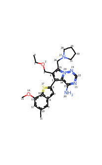 CCOCc1c(-c2cc3cc(C)cc(OC)c3s2)c2c(N)ncnn2c1CN1CCCC1